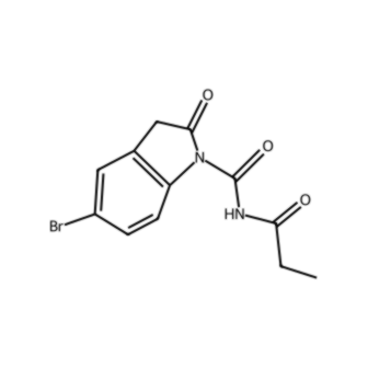 CCC(=O)NC(=O)N1C(=O)Cc2cc(Br)ccc21